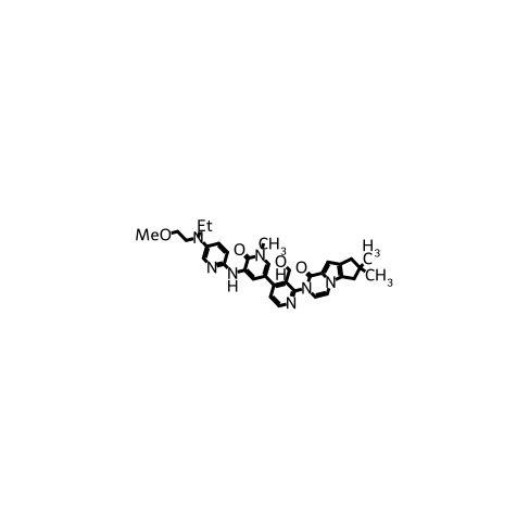 CCN(CCOC)c1ccc(Nc2cc(-c3ccnc(-n4ccn5c6c(cc5c4=O)CC(C)(C)C6)c3CO)cn(C)c2=O)nc1